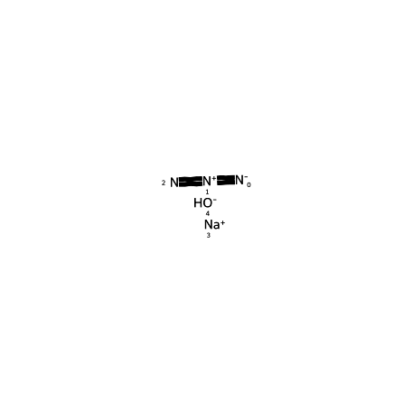 [N-]=[N+]=[N-].[Na+].[OH-]